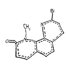 Cn1c(=O)ccc2ccc3ccc(Br)nc3c21